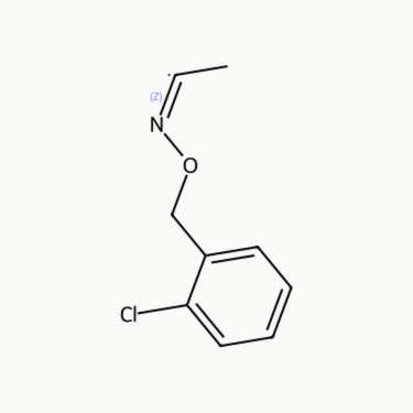 C/[C]=N\OCc1ccccc1Cl